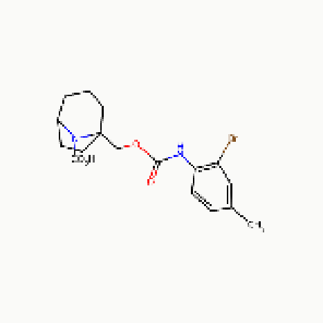 Cc1ccc(NC(=O)OCC23CCCC(CC2)N3C(=O)O)c(Br)c1